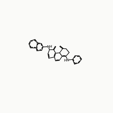 C=C1C2=C(C=CC3=C(Nc4ccccc4)CCC(=C)C32)C=CC1Nc1ccc2ccccc2c1